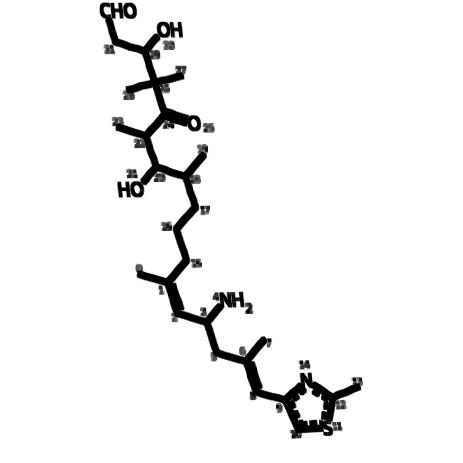 C/C(=C/C(N)C/C(C)=C/c1csc(C)n1)CCCC(C)C(O)C(C)C(=O)C(C)(C)C(O)CC=O